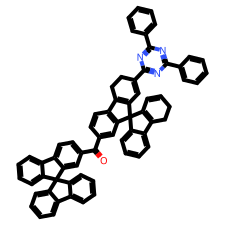 O=C(c1ccc2c(c1)C1(C3=C(CCC=C3)c3ccccc31)C1=C2CCC(c2nc(-c3ccccc3)nc(-c3ccccc3)n2)=C1)c1ccc2c(c1)C1(c3ccccc3-c3ccccc31)c1ccccc1-2